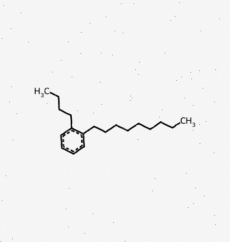 CCCCCCCCCc1ccccc1CCCC